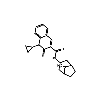 CN1C2CCC1CC(NC(=O)c1cc3ccccc3n(C3CC3)c1=O)C2